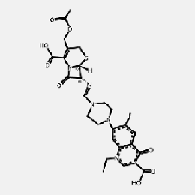 CCn1cc(C(=O)O)c(=O)c2cc(F)c(N3CCN(C=N[C@@H]4C(=O)N5C(C(=O)O)=C(COC(C)=O)CS[C@H]45)CC3)cc21